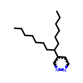 CCCCCCCC(CCCCCC)c1ccnnc1